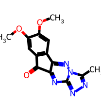 COc1cc2c(cc1OC)-c1nn3c(C)nnc3nc1C2=O